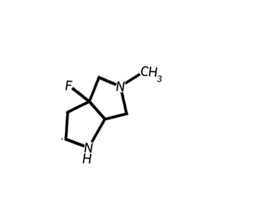 CN1CC2N[CH]CC2(F)C1